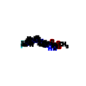 CS(=O)(=O)c1cncc(C(=O)NCc2cc3nc(-c4cccc(N5C[C@H]6CCN(CC(F)F)C[C@H]6C5)n4)ccc3cn2)c1